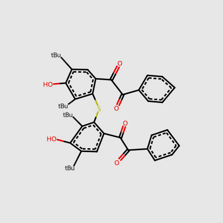 CC(C)(C)c1cc(C(=O)C(=O)c2ccccc2)c(Sc2c(C(=O)C(=O)c3ccccc3)cc(C(C)(C)C)c(O)c2C(C)(C)C)c(C(C)(C)C)c1O